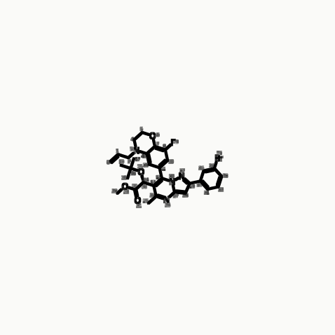 C=CCN1CCOc2c(F)cc(-c3c([C@H](OC(C)(C)C)C(=O)OC)c(C)nc4cc(-c5cccc(Br)c5)nn34)cc21